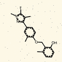 Cc1cc(-c2nn(C)c(F)c2C)ccc1OCc1c(C)cccc1O